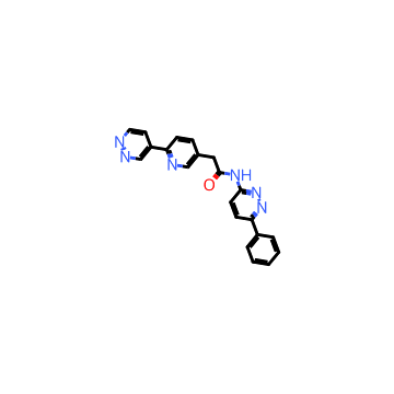 O=C(Cc1ccc(-c2ccnnc2)nc1)Nc1ccc(-c2ccccc2)nn1